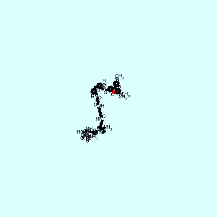 CC/N=c1\ccc2c(-c3ccc(C(=O)NCc4c(O)ccc5cc6ccc(=O)c(CNC(=O)CCC(=O)NCCCCCC(=O)NCC#Cc7cn([C@H]8CC[C@@H](COP(=O)(O)OP(=O)(O)OP(=O)(O)OP(=O)(O)OC)O8)c8ncnc(N)c78)c-6oc45)cc3C(=O)O)c3ccc(N(C)C)cc3oc-2c1